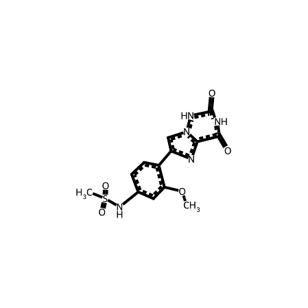 COc1cc(NS(C)(=O)=O)ccc1-c1cn2[nH]c(=O)[nH]c(=O)c2n1